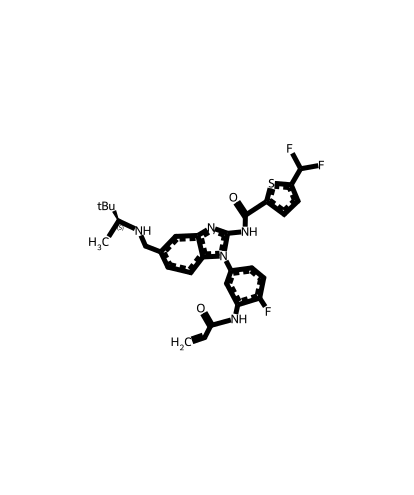 C=CC(=O)Nc1cc(-n2c(NC(=O)c3ccc(C(F)F)s3)nc3cc(CN[C@@H](C)C(C)(C)C)ccc32)ccc1F